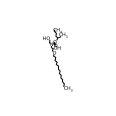 CCCCCCCCCCCCCCCCOCC(O)CN(CCO)C(=O)OCC(CC)CCCC